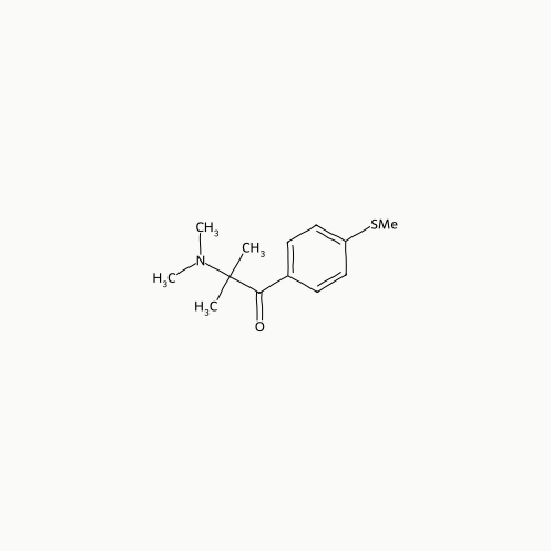 CSc1ccc(C(=O)C(C)(C)N(C)C)cc1